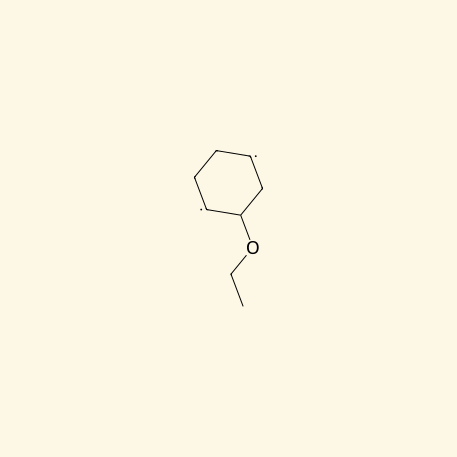 CCOC1[CH]CC[CH]C1